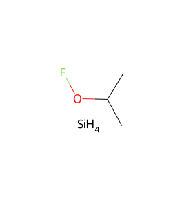 CC(C)OF.[SiH4]